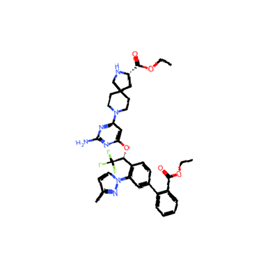 CCOC(=O)c1ccccc1-c1ccc([C@@H](Oc2cc(N3CCC4(CC3)CN[C@H](C(=O)OCC)C4)nc(N)n2)C(F)(F)F)c(-n2ccc(C)n2)c1